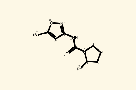 CC(C)C1CCCN1C(=O)Nc1cc(C(C)(C)C)on1